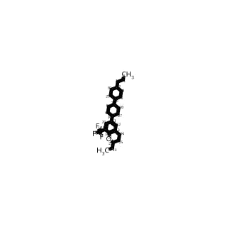 CCCC1CCC(C2CCC(c3cc4c(c(C(F)(F)F)c3)OC(CC)CC4)CC2)CC1